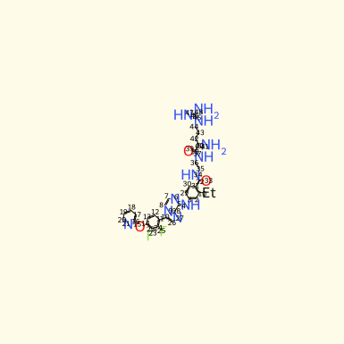 CCc1cc(Nc2nccn3c(-c4ccc(Oc5ccccn5)c(F)c4F)cnc23)ccc1C(=O)NCCNC(=O)[C@@H](N)CCCNC(=N)N